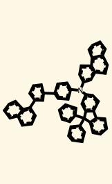 c1ccc(C2(c3ccccc3)c3ccccc3-c3ccc(N(c4ccc(-c5cccc(-c6cccc7ccccc67)c5)cc4)c4ccc5c(ccc6ccccc65)c4)cc32)cc1